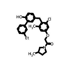 CCc1cccc(-c2cc(Cc3c(C)cc(OCC(=O)N4CCC(C)C4)cc3Cl)ccc2O)c1